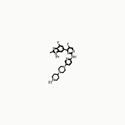 CCN1CCC(N2CCN(c3ccc(Nc4ncc(F)c(-c5cc(F)c6nc(C)n(C(C)C)c6c5)n4)nc3)CC2)CC1